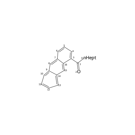 CCCCCCCC(=O)c1cccc2cc3ccccc3cc12